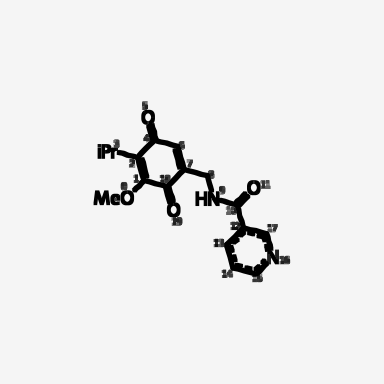 COC1=C(C(C)C)C(=O)C=C(CNC(=O)c2cccnc2)C1=O